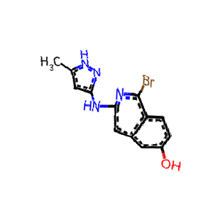 Cc1cc(Nc2cc3cc(O)ccc3c(Br)n2)n[nH]1